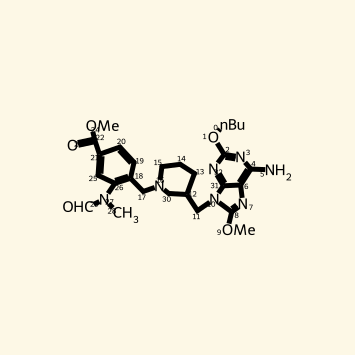 CCCCOc1nc(N)c2nc(OC)n(CC3CCCN(Cc4ccc(C(=O)OC)cc4N(C)C=O)C3)c2n1